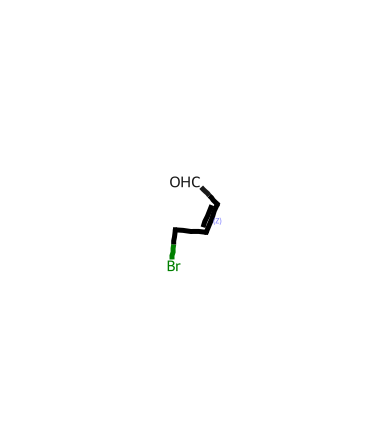 O=C/C=C\CBr